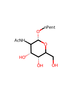 CCCCCO[C@@H]1OC(CO)[C@H](O)[C@H](O)C1NC(C)=O